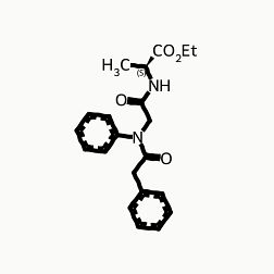 CCOC(=O)[C@H](C)NC(=O)CN(C(=O)Cc1ccccc1)c1ccccc1